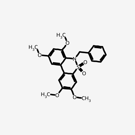 COc1cc(OC)c2c(c1)-c1cc(OC)c(OC)cc1S(=O)(=O)N2Cc1ccccc1